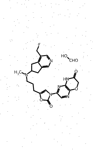 CN(CCCc1cn(-c2cnc3c(n2)NC(=O)CO3)c(=O)o1)C1Cc2cncc(CF)c2C1.O=CO